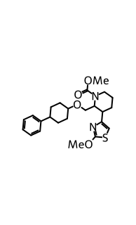 COC(=O)N1CCCC(c2csc(OC)n2)C1COC1CCC(c2ccccc2)CC1